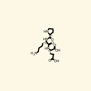 NCCCC[C@H](NC(=O)[C@@H]1CCCN1)C(=O)N[C@@H](CCC(=O)O)C(=O)O